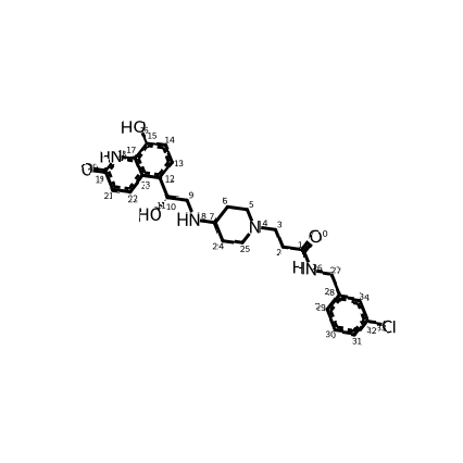 O=C(CCN1CCC(NC[C@H](O)c2ccc(O)c3[nH]c(=O)ccc23)CC1)NCc1cccc(Cl)c1